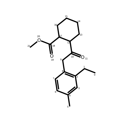 CCc1cc(C)ccc1CC(=O)C1CCCCC1C(=O)OC